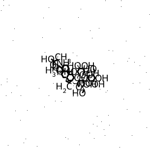 C=C1C[C@@]23CC[C@H]4[C@@](C)(CCC[C@@]4(C)C(=O)N[C@@H](C)C(=O)O)[C@@H]2CC[C@]1(C[C@@H]1O[C@H](CO)[C@@H](O)[C@H](O[C@@H]2O[C@H](CO)[C@@H](O)[C@H](O)[C@H]2O)[C@H]1O[C@@H]1O[C@H](CO)[C@@H](O)[C@H](O)[C@H]1O)C3